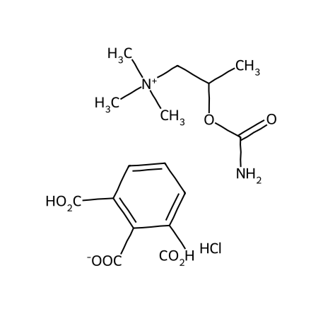 CC(C[N+](C)(C)C)OC(N)=O.Cl.O=C(O)c1cccc(C(=O)O)c1C(=O)[O-]